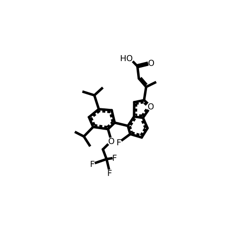 CC(=CC(=O)O)c1cc2c(-c3cc(C(C)C)cc(C(C)C)c3OCC(F)(F)F)c(F)ccc2o1